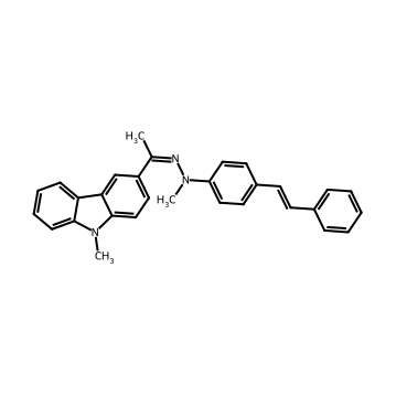 C/C(=N/N(C)c1ccc(/C=C/c2ccccc2)cc1)c1ccc2c(c1)c1ccccc1n2C